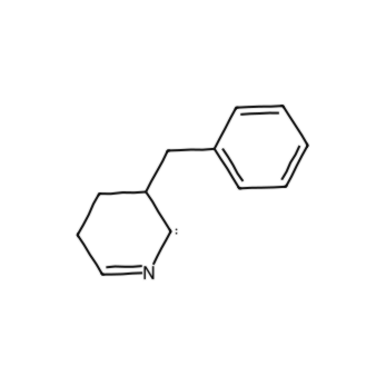 [C]1N=CCCC1Cc1ccccc1